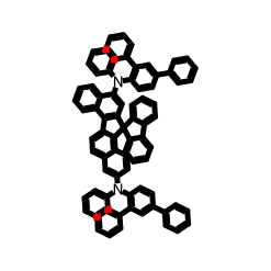 c1ccc(-c2ccc(N(c3ccccc3)c3ccc4c5c(ccc4c3)-c3c(cc(N(c4ccccc4)c4ccc(-c6ccccc6)cc4-c4ccccc4)c4ccccc34)C53c4ccccc4-c4ccccc43)c(-c3ccccc3)c2)cc1